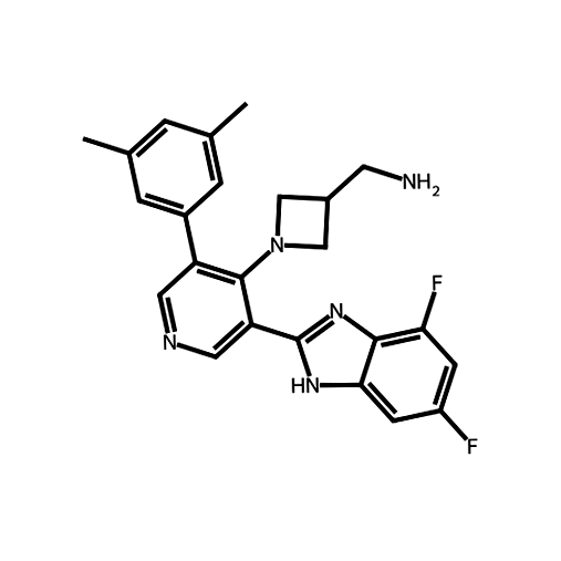 Cc1cc(C)cc(-c2cncc(-c3nc4c(F)cc(F)cc4[nH]3)c2N2CC(CN)C2)c1